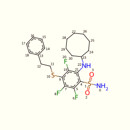 NS(=O)(=O)c1c(F)c(F)c(SCCc2ccccc2)c(F)c1NC1CCCCCCC1